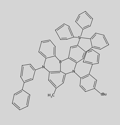 Cc1cc2c3c(c1)N(c1ccc(C(C)(C)C)cc1-c1ccccc1)c1cc4c(cc1B3c1ccccc1N2c1cccc(-c2ccccc2)c1)[Si](c1ccccc1)(c1ccccc1)c1ccccc1-4